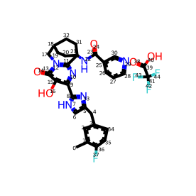 Cc1cc(Cc2c[nH]c(-c3nc4n(c(=O)c3O)CC3CCC4(NC(=O)c4cccnc4)CC3)n2)ccc1F.O=C(O)C(F)(F)F